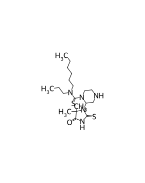 CCCCCCN(CCC)C(=S)N1CCNCC1N1C(=S)NC(=O)C1(C)C